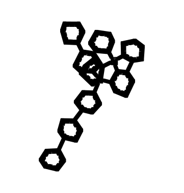 c1ccc(-c2ccc(-c3ccc(N(c4ccc(-c5ccccc5)cc4)c4cccc5c4[Si](c4ccccc4)(c4ccccc4)c4ccccc4-5)cc3)cc2)cc1